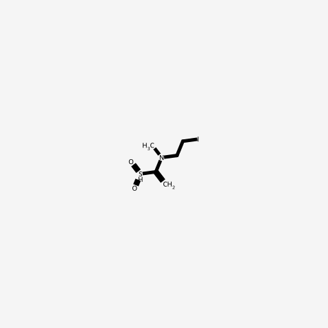 C=C(N(C)CCI)[SH](=O)=O